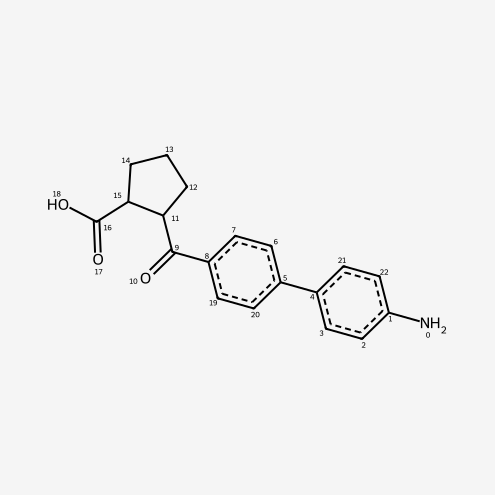 Nc1ccc(-c2ccc(C(=O)C3CCCC3C(=O)O)cc2)cc1